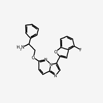 NC(COc1ccc2ncc(-c3cc4c(F)cccc4o3)n2n1)c1ccccc1